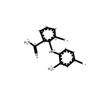 Cc1cc(I)ccc1Nc1c(F)cccc1C(N)=O